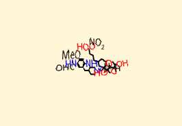 COc1cc(N)c(CC2CCN(CC3([C@@]4(O)CO[C@@H]5[C@H](O)CO[C@@H]54)CCCC(CCCC(O)O[N+](=O)[O-])C3)CC2)cc1NC=O